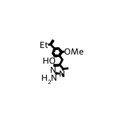 C=C(CC)c1ccc(CC2=C(O)N=C(N)N(C)C2C)c(OC)c1